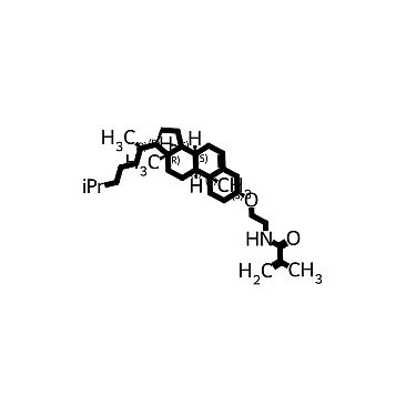 C=C(C)C(=O)NCCO[C@H]1CC[C@@]2(C)C(=CC[C@H]3[C@@H]4CC[C@H]([C@H](C)CCCC(C)C)[C@@]4(C)CC[C@@H]32)C1